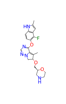 CC1=C2C(Oc3ccc4[nH]c(C)cc4c3F)=NC=NN2CC1OC[C@@H]1CNCCO1